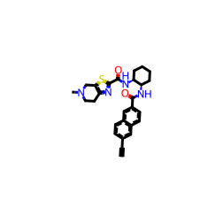 C#Cc1ccc2cc(C(=O)N[C@@H]3CCCC[C@@H]3NC(=O)c3nc4c(s3)CN(C)CC4)ccc2c1